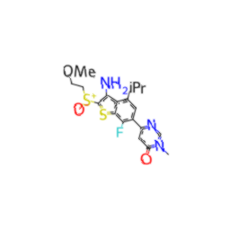 COCC[S+]([O-])c1sc2c(F)c(-c3cc(=O)n(C)cn3)cc(C(C)C)c2c1N